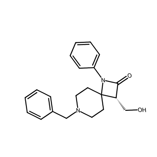 O=C1[C@H](CO)C2(CCN(Cc3ccccc3)CC2)N1c1ccccc1